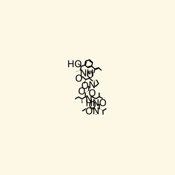 C/C=C(\C)c1cccc([C@H](O)[C@@H](C)NC(=O)[C@H](C)[C@@H](OC)[C@@H]2CCCN2C(=O)C[C@@H](OC)[C@H]([C@@H](C)CC)N(C)C(=O)C(NC(=O)[C@H](C(C)C)N(C)C(=O)OCC)C(C)C)c1